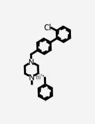 CN1CCN(Cc2ccc(-c3ccccc3Cl)cc2)C[C@@H]1Cc1ccccc1